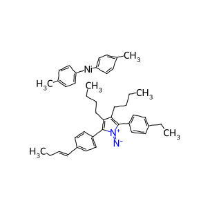 CCC=Cc1ccc(C2=C(CCCC)C(CCCC)=C(c3ccc(CC)cc3)[N+]2=[N-])cc1.Cc1cc[c]([Ni][c]2ccc(C)cc2)cc1